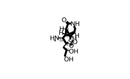 CN[C@H]1[C@H]2[C@H]([C@@H]3CNC(=O)[C@H]2C3)S(=O)(=O)[C@H]1C[C@H](O)CO